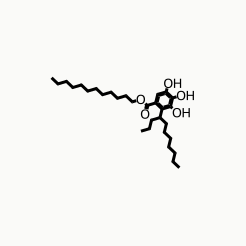 CCCCCCCCCCCCOC(=O)c1cc(O)c(O)c(O)c1C(CCC)CCCCCCC